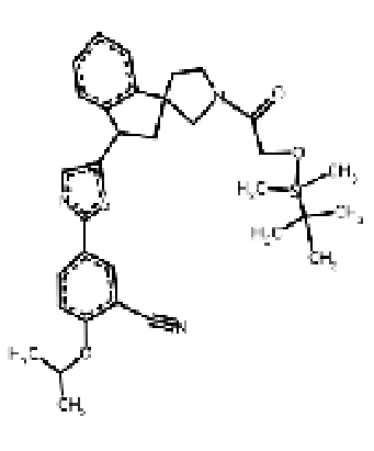 CC(C)Oc1ccc(-c2ncc(C3CC4(CCN(C(=O)CO[Si](C)(C)C(C)(C)C)C4)c4ccccc43)s2)cc1C#N